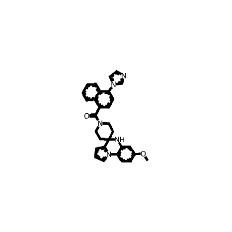 COc1ccc2c(c1)NC1(CCN(C(=O)c3ccc(-n4ccnc4)c4ccccc34)CC1)c1cccn1-2